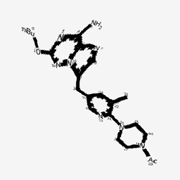 CCCCOc1nc(N)c2ncc(Cc3cnc(N4CCN(C(C)=O)CC4)c(C)c3)n2n1